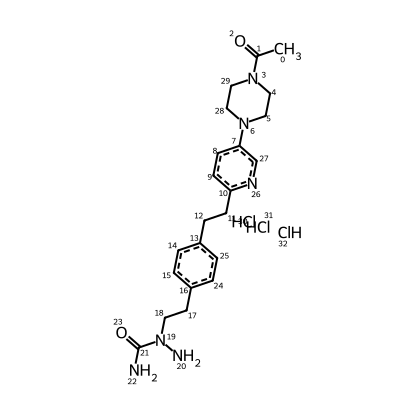 CC(=O)N1CCN(c2ccc(CCc3ccc(CCN(N)C(N)=O)cc3)nc2)CC1.Cl.Cl.Cl